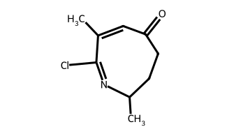 CC1=C/C(=O)CCC(C)/N=C\1Cl